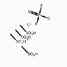 CS(=O)(=O)O.CS(=O)(=O)O.CS(=O)(=O)O.CS(=O)(=O)O.O=P([O-])(F)F.[Li+]